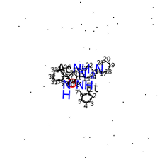 CCc1ccccc1CNC(=O)C(N1CCC(N2CCCCC2)CC1)C(N)(C(C)=O)c1c[nH]c2ccccc12